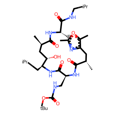 Cc1nc(C[C@H](C)C(=O)N[C@@H](CNC(=O)OC(C)(C)C)C(=O)N[C@@H](CC(C)C)[C@@H](O)C[C@@H](C)C(=O)N[C@H](C(=O)NCC(C)C)C(C)C)c(C)o1